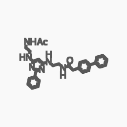 CC(=O)NCCNc1cc(NCCNC(=O)Cc2ccc(-c3ccccc3)cc2)nc(-c2ccccc2)n1